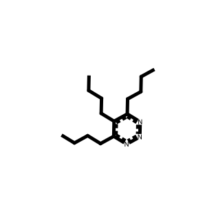 CCCCc1nnnc(CCCC)c1CCCC